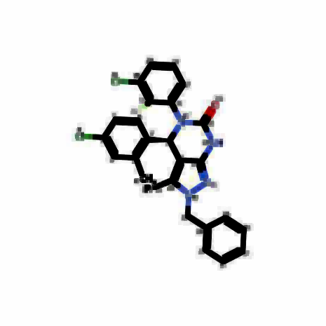 Cc1cc(Cl)ccc1[C@@H]1c2c(nn(Cc3ccccc3)c2C(C)C)NC(=O)N1c1cccc(Cl)c1F